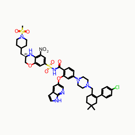 CC1(C)CCC(CN2CCN(c3ccc(C(=O)NS(=O)(=O)c4cc5c(c([N+](=O)[O-])c4)N[C@H](CC4CCN(S(C)(=O)=O)CC4)CO5)c(Oc4cnc5[nH]ccc5c4)c3)CC2)=C(c2ccc(Cl)cc2)C1